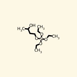 CCO[Si](OCC)(OCC)OCCC(C)O